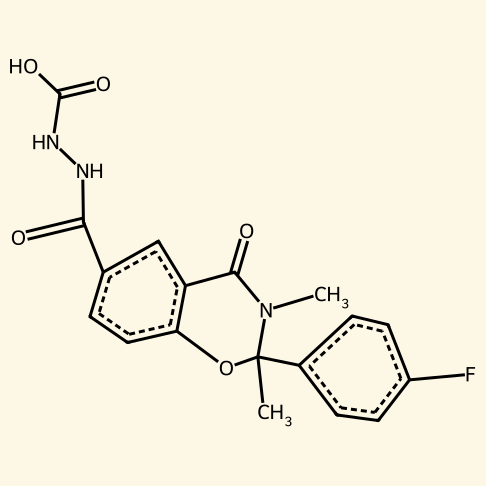 CN1C(=O)c2cc(C(=O)NNC(=O)O)ccc2OC1(C)c1ccc(F)cc1